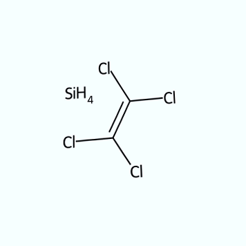 ClC(Cl)=C(Cl)Cl.[SiH4]